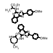 CCOC(=O)C(C)Nc1nc2ccccc2c2nc(-c3ccc(OC)cc3)nn12.COc1ccc(-c2nc3c4ccccc4nc(N[C@@H]4CN(C)CCNC4=O)n3n2)cc1